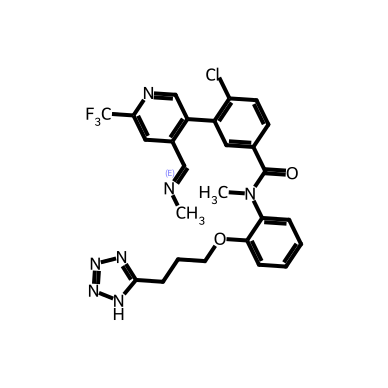 C/N=C/c1cc(C(F)(F)F)ncc1-c1cc(C(=O)N(C)c2ccccc2OCCCc2nnn[nH]2)ccc1Cl